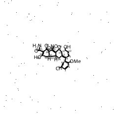 COc1ccc(Cl)cc1C(/C=C\CO)=C1/CC(=O)C2=C(N=O)[C@]3(O)C(=O)C(C(N)=O)=C(O)C[C@@H]3C[C@@H]2C1